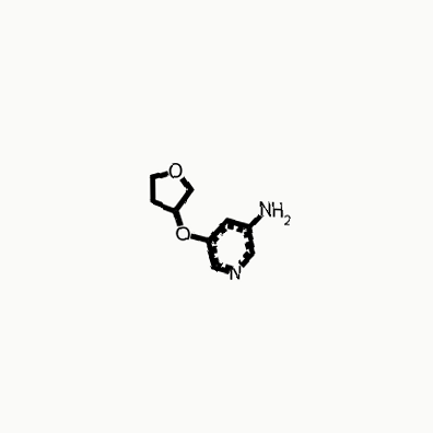 Nc1cncc(OC2CCOC2)c1